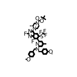 COc1ccc(CN(Cc2ccc(OC)cc2)c2cc(C)cc(-c3c(SC(F)(F)F)cc4c(N5CCN(C(=O)OC(C)(C)C)C[C@@H]5C)nc(F)nc4c3F)n2)cc1